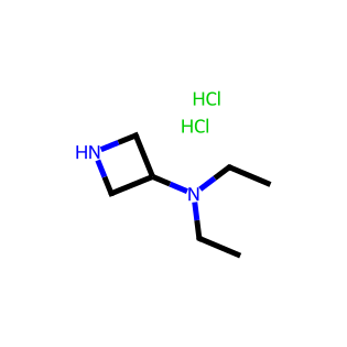 CCN(CC)C1CNC1.Cl.Cl